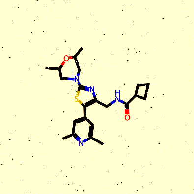 Cc1cc(-c2sc(N3CC(C)OC(C)C3)nc2CNC(=O)C2CCC2)cc(C)n1